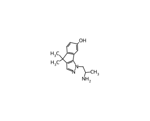 CC(N)Cn1ncc2c1-c1cc(O)ccc1C2(C)C